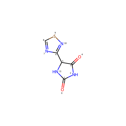 O=C1NC(=O)C(c2ncsn2)N1